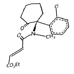 CCOC(=O)/C=C/C(=O)N(C)[C@]1(c2ccccc2Cl)CCCCC1=O